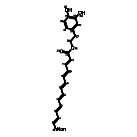 CCCCCCCCCC=CC=CC=CC=CC=CC=CC(=O)OCCc1ccc(O)c(O)c1